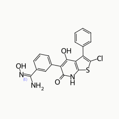 N/C(=N/O)c1cccc(-c2c(O)c3c(-c4ccccc4)c(Cl)sc3[nH]c2=O)c1